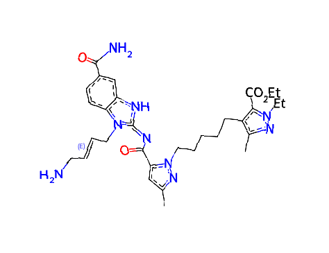 CCOC(=O)c1c(CCCCCn2nc(C)cc2C(=O)N=c2[nH]c3cc(C(N)=O)ccc3n2C/C=C/CN)c(C)nn1CC